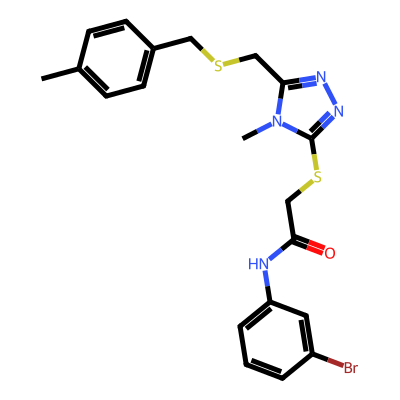 Cc1ccc(CSCc2nnc(SCC(=O)Nc3cccc(Br)c3)n2C)cc1